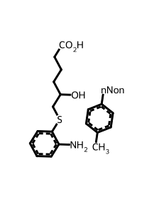 CCCCCCCCCc1ccc(C)cc1.Nc1ccccc1SCC(O)CCCC(=O)O